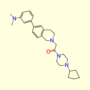 CN(C)c1cccc(-c2ccc3c(c2)CCN(CC(=O)N2CCN(C4CCCC4)CC2)C3)c1